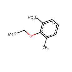 COCOc1c(C(=O)O)cccc1C(F)(F)F